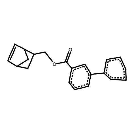 O=C(OCC1CC2C=CC1C2)c1cccc(-c2ccccc2)c1